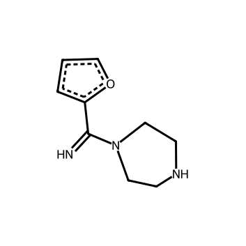 N=C(c1ccco1)N1CCNCC1